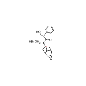 Br.CN1C2CC(OC(=O)C(CO)c3ccccc3)CC1C1OC12.O